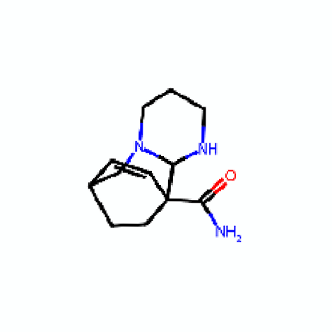 NC(=O)C12C=CC(CC1)CN1CCCNC12